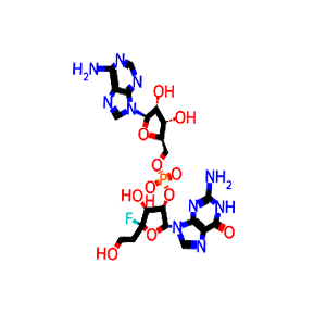 Nc1nc2c(ncn2[C@@H]2O[C@](F)(CCO)[C@@H](O)[C@H]2OP(=O)(O)OC[C@H]2O[C@@H](n3cnc4c(N)ncnc43)[C@H](O)[C@@H]2O)c(=O)[nH]1